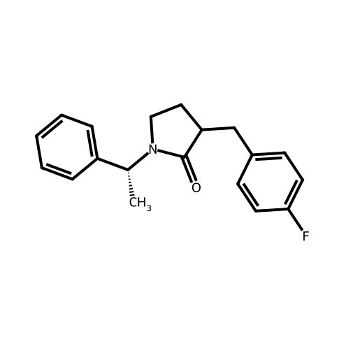 C[C@H](c1ccccc1)N1CCC(Cc2ccc(F)cc2)C1=O